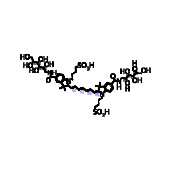 CC1(C)C(/C=C/C=C/C=C/C=C2/N(CCCCS(=O)(=O)O)c3ccc(C(=O)NC[C@@H](O)[C@H](O)[C@@H](O)[C@@H](O)CO)cc3C2(C)C)=[N+](CCCCS(=O)(=O)O)c2ccc(C(=O)NC[C@@H](O)[C@H](O)[C@@H](O)[C@@H](O)CO)cc21